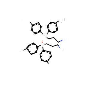 Cc1ccc([Si](CCCN)(O[Si](CCCN)(c2ccc(C)cc2)c2ccc(C)cc2)c2ccc(C)cc2)cc1